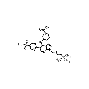 C[Si](C)(C)CCOCn1ccc2c(N[C@@H]3CCCN(C(=O)O)C3)c(-c3ccc(S(C)(=O)=O)cn3)cnc21